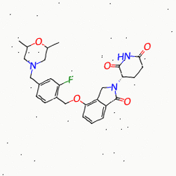 CC1CN(Cc2ccc(COc3cccc4c3CN([C@H]3CCC(=O)NC3=O)C4=O)c(F)c2)CC(C)O1